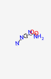 CN(C)CCCN(C)c1ccc(C2=NOC(C(N)=O)C2)cc1